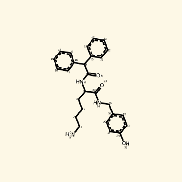 NCCCCC(NC(=O)C(c1ccccc1)c1ccccc1)C(=O)NCc1ccc(O)cc1